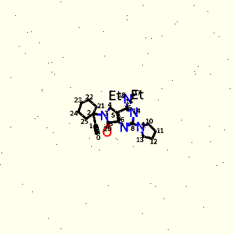 C#CC1(N2Cc3c(nc(N4CCCC4)nc3N(CC)CC)C2=O)CCCCC1